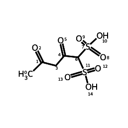 CC(=O)CC(=O)C(S(=O)(=O)O)S(=O)(=O)O